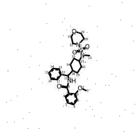 COc1ccccc1C(=O)NC(c1ccccc1)C1CCC(N(C)S(=O)(=O)N2CCOCC2)CC1